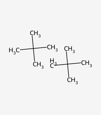 CC(C)(C)C.CC(C)(C)C